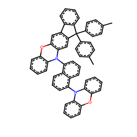 Cc1ccc(C2(c3ccc(C)cc3)c3ccccc3-c3cc4c(cc32)N(c2cccc3c(N5c6ccccc6Oc6ccccc65)cccc23)c2ccccc2O4)cc1